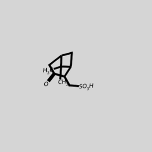 CC1(C)C2CC(=O)C(CS(=O)(=O)O)C1C2